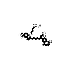 CCN1c2cc3c(cc2C(C)=CC1(C)C)C(=CC=CC=CC1=[N+](CCCCCC(=O)O)c2ccc(S(=O)(=O)[O-])cc2C1(C)C)C=C(C(C)(C)C)O3